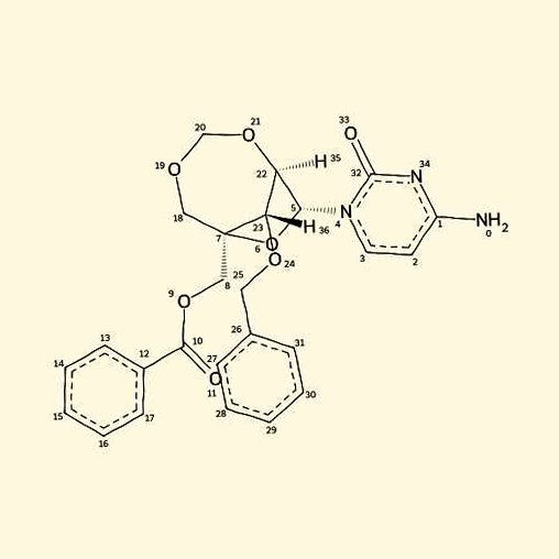 Nc1ccn([C@@H]2O[C@@]3(COC(=O)c4ccccc4)COCO[C@@H]2[C@@H]3OCc2ccccc2)c(=O)n1